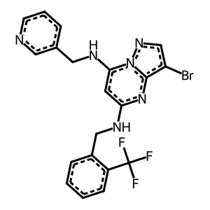 FC(F)(F)c1ccccc1CNc1cc(NCc2cccnc2)n2ncc(Br)c2n1